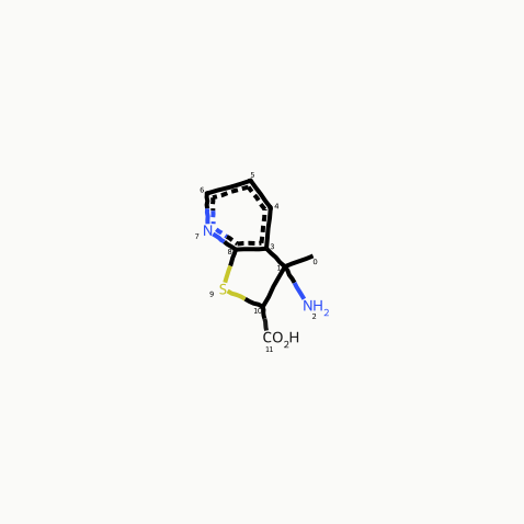 CC1(N)c2cccnc2SC1C(=O)O